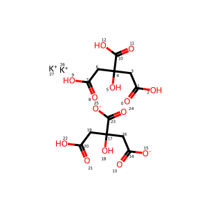 O=C(O)CC(O)(CC(=O)O)C(=O)O.O=C([O-])CC(O)(CC(=O)O)C(=O)[O-].[K+].[K+]